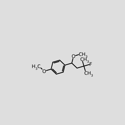 COc1ccc(C(CC(C)(C)F)OC)cc1